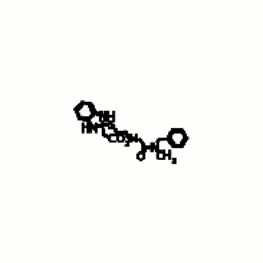 CN(Cc1ccccc1)C(=O)CCCCSC1(CC(=O)O)Nc2ccccc2N1